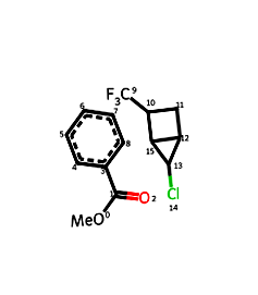 COC(=O)c1ccccc1.FC(F)(F)C1CC2C(Cl)C21